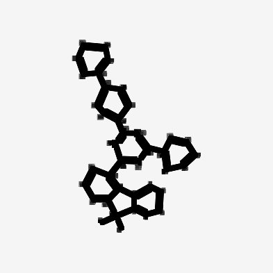 C[Si]1(C)c2ccccc2-c2c(-c3nc(-c4ccccc4)nc(-c4ccc(-c5ccccc5)cc4)n3)cccc21